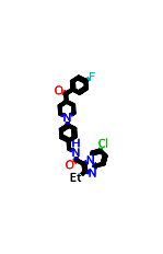 CCc1nc2ccc(Cl)cn2c1C(=O)NCc1ccc(N2CCC(C(=O)c3ccc(F)cc3)CC2)cc1